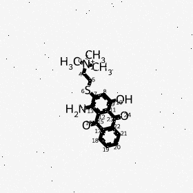 C[N+](C)(C)CCSc1cc(O)c2c(c1N)C(=O)c1ccccc1C2=O